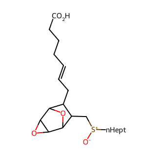 CCCCCCC[S+]([O-])CC1C(CC=CCCCC(=O)O)C2OC1C1OC21